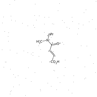 CCCN(C)C(=O)C=CC(=O)O